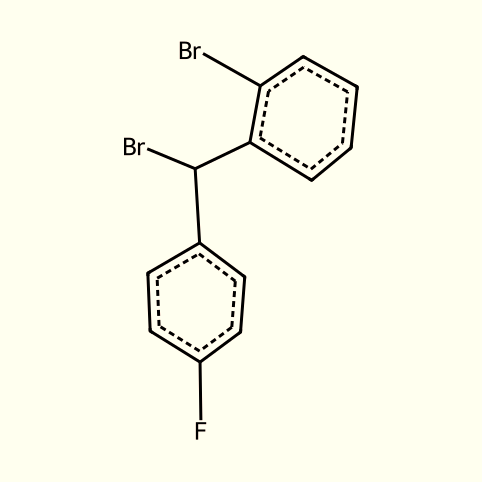 Fc1ccc(C(Br)c2ccccc2Br)cc1